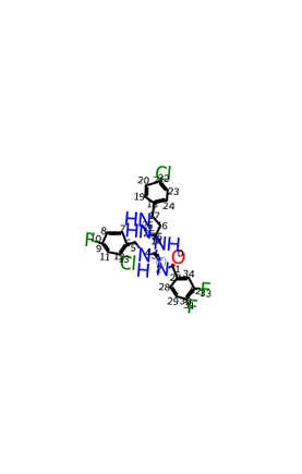 O=C(/N=C(/NCc1ccc(F)cc1Cl)NC1CC(c2ccc(Cl)cc2)NN1)c1ccc(F)c(F)c1